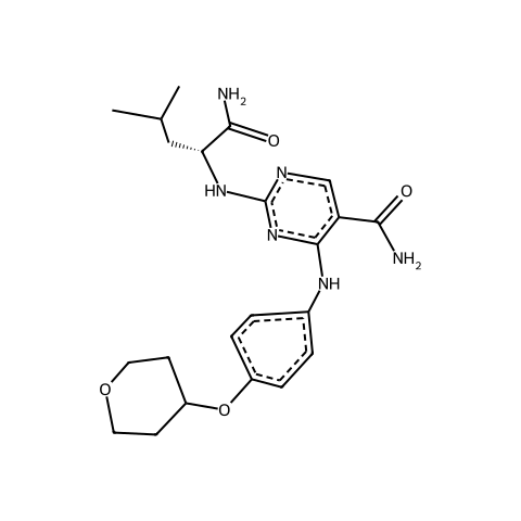 CC(C)C[C@@H](Nc1ncc(C(N)=O)c(Nc2ccc(OC3CCOCC3)cc2)n1)C(N)=O